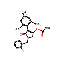 Cc1cc(C)c(C2=C(OC(=O)C(C)(C)C)CC(Cc3ccccc3F)C2=O)c(C)c1